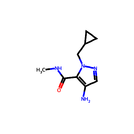 CNC(=O)c1c(N)cnn1CC1CC1